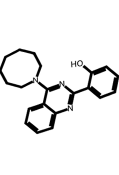 Oc1ccccc1-c1nc(N2CCCCCCC2)c2ccccc2n1